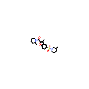 Cc1c(C(=O)N2CCCCC2C)oc2ccc(S(=O)(=O)N3CCCC(C)C3)cc12